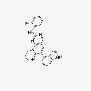 Fc1ccccc1Nc1ncc2c(n1)N1CCCN=C1C(c1cccc3[nH]ccc13)=C2